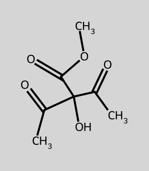 COC(=O)C(O)(C(C)=O)C(C)=O